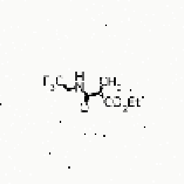 CCOC(=O)C(C)C(=O)NCC(F)(F)F